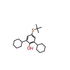 CC(C)(C)Sc1cc(C2CCCCC2)c(O)c(C2CCCCC2)c1